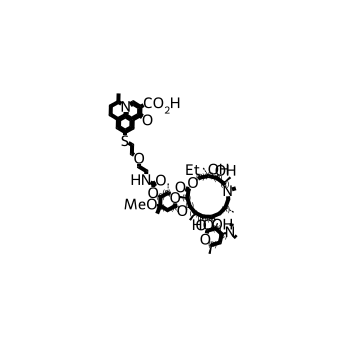 CC[C@H]1OC(=O)[C@H](C)[C@@H](O[C@H]2C[C@@](C)(OC)[C@@H](OC(=O)NCCOCCSc3cc4c5c(c3)c(=O)c(C(=O)O)cn5C(C)CC4)[C@H](C)O2)[C@H](C)[C@@H](OC2O[C@H](C)C[C@H](N(C)C)[C@H]2O)[C@](C)(O)C[C@@H](C)CN(C)[C@H](C)[C@@H](O)[C@]1(C)O